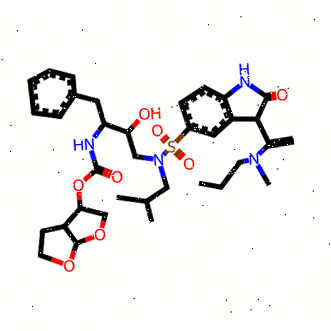 C=C(C1C(=O)Nc2ccc(S(=O)(=O)N(CC(C)C)CC(O)C(Cc3ccccc3)NC(=O)OC3COC4OCCC34)cc21)N(C)CCC